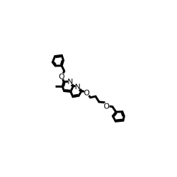 Cc1cc2ccc(OCCCCOCc3ccccc3)nc2nc1OCc1ccccc1